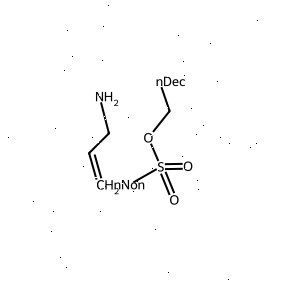 C=CCN.CCCCCCCCCCCOS(=O)(=O)CCCCCCCCC